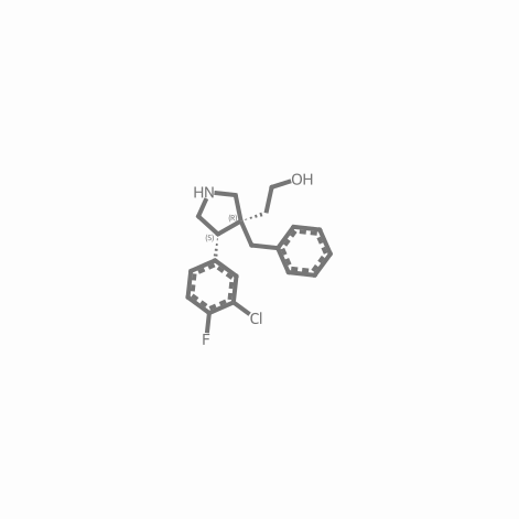 OCC[C@@]1(Cc2ccccc2)CNC[C@H]1c1ccc(F)c(Cl)c1